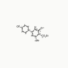 CCCc1nc(-c2ccc(Cl)cc2)[nH]c(=O)c1C(=O)OCC